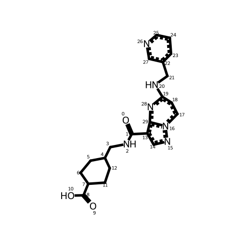 O=C(NCC1CCC(C(=O)O)CC1)c1cnn2ccc(NCc3cccnc3)nc12